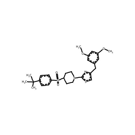 COc1cc(Cc2csc(N3CCC(S(=O)(=O)c4ccc(C(C)(C)C)cc4)CC3)n2)cc(OC)c1